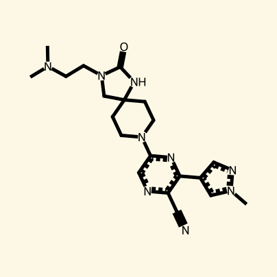 CN(C)CCN1CC2(CCN(c3cnc(C#N)c(-c4cnn(C)c4)n3)CC2)NC1=O